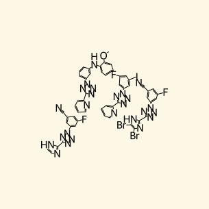 COc1ccccc1Nc1cccc(-n2nnc(-c3ccccn3)n2)c1.Fc1cc(I)cc(-n2nnc(-c3ccccn3)n2)c1.N#Cc1cc(F)cc(-n2nnc(-c3nc(Br)c(Br)[nH]3)n2)c1.N#Cc1cc(F)cc(-n2nnc(-c3ncc[nH]3)n2)c1